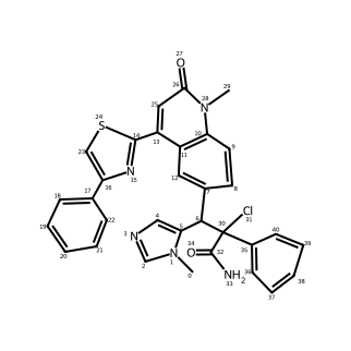 Cn1cncc1C(c1ccc2c(c1)c(-c1nc(-c3ccccc3)cs1)cc(=O)n2C)C(Cl)(C(N)=O)c1ccccc1